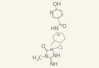 CN1C(=N)N[C@](CC2CCC[C@@H](NC(=O)c3ccc(O)nc3)C2)(C2CC2)C1=O